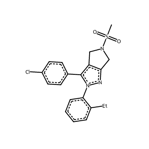 CCc1ccccc1-n1nc2c(c1-c1ccc(Cl)cc1)CN(S(C)(=O)=O)C2